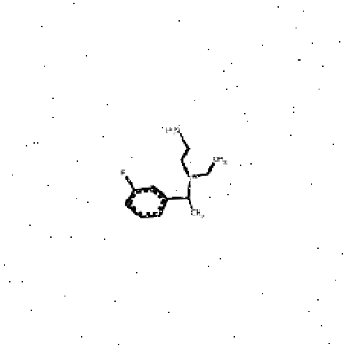 CCN(CCN)C(C)c1cccc(F)c1